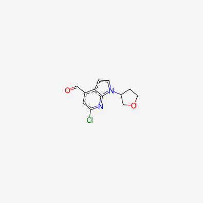 O=Cc1cc(Cl)nc2c1ccn2C1CCOC1